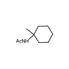 [CH2]C(=O)NC1(C)CCCCC1